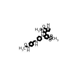 CC(=O)Nc1ccc(CNC2CCC(Nc3ccc(S(C)(=O)=O)cc3-c3cn(C)c(=O)c4[nH]ccc34)CC2)cc1